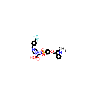 Cc1cc(COc2ccc(S(=O)(=O)NC=C(C(=O)O)N3CCN(Cc4ccc(C(F)(F)F)cc4)CC3)cc2)c2ccccc2n1